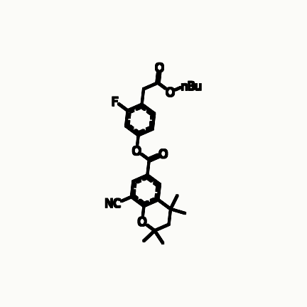 CCCCOC(=O)Cc1ccc(OC(=O)c2cc(C#N)c3c(c2)C(C)(C)CC(C)(C)O3)cc1F